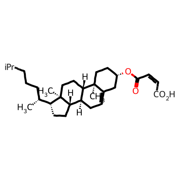 CC(C)CCC[C@@H](C)[C@H]1CC[C@H]2[C@@H]3CC=C4C[C@@H](OC(=O)/C=C\C(=O)O)CC[C@]4(C)[C@H]3CC[C@]12C